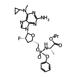 CC(C)OC(=O)[C@H](C)N[P@@](=O)(OC[C@@H]1C[C@H](F)[C@H](n2cnc3c(N(C)C4CC4)nc(N)nc32)O1)Oc1ccccc1